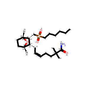 CCCCCCS(=O)(=O)C[C@@H]1[C@H](C/C=C\CCC(C)(C)C(N)=O)[C@@H]2CC[C@H]1O2